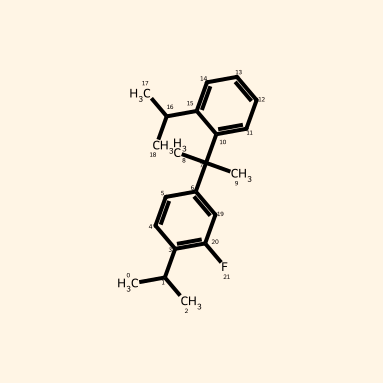 CC(C)c1ccc(C(C)(C)c2ccccc2C(C)C)cc1F